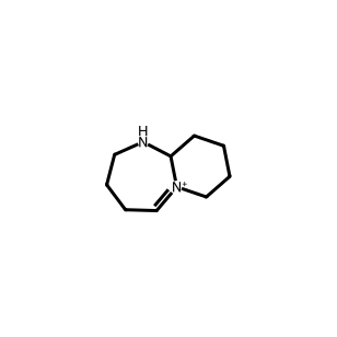 C1=[N+]2CCCCC2NCCC1